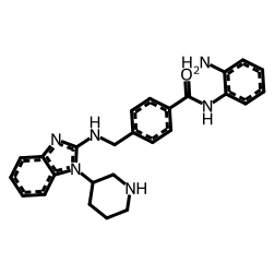 Nc1ccccc1NC(=O)c1ccc(CNc2nc3ccccc3n2C2CCCNC2)cc1